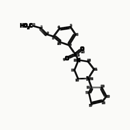 O=C(O)C=Cc1cccc(S(=O)(=O)N2CCN(c3ccccc3)CC2)c1